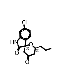 CCC[C@H]1CC(=O)C[C@@]2(O1)C(=O)Nc1cc(Cl)ccc12